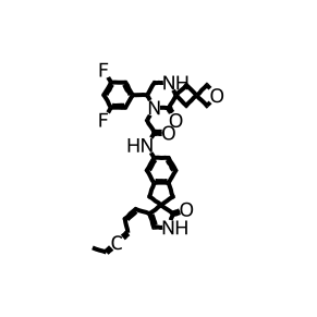 CC=C=C/C=C\C1=CNC(=O)C12Cc1ccc(NC(=O)CN3C(=O)C4(CC5(COC5)C4)NCC3c3cc(F)cc(F)c3)cc1C2